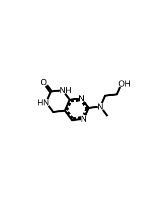 CN(CCO)c1ncc2c(n1)NC(=O)NC2